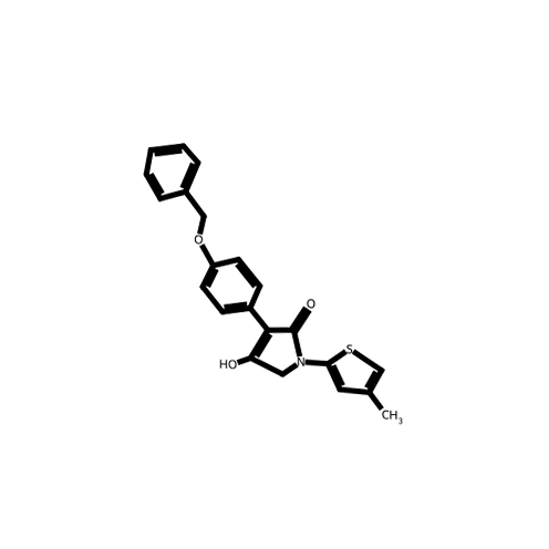 Cc1csc(N2CC(O)=C(c3ccc(OCc4ccccc4)cc3)C2=O)c1